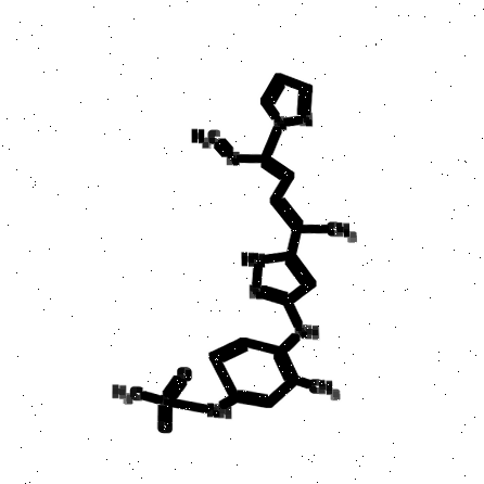 C=N/C(=C\C=C(/C)c1cc(Nc2ccc(NS(C)(=O)=O)cc2C)n[nH]1)n1cccn1